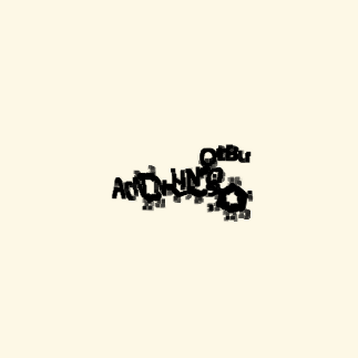 CC(=O)N1CCN(CC[C@H](CSc2ccccc2)NC(=O)OC(C)(C)C)CC1